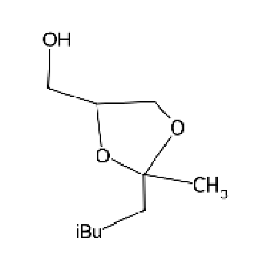 CCC(C)CC1(C)OCC(CO)O1